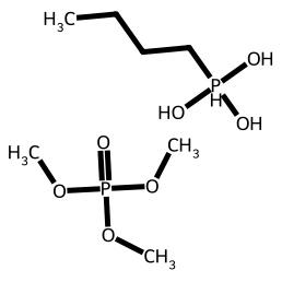 CCCC[PH](O)(O)O.COP(=O)(OC)OC